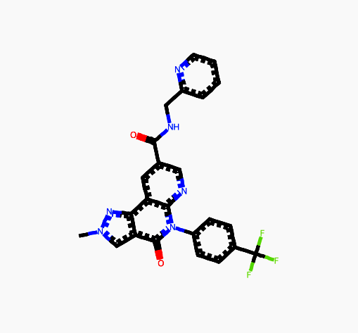 Cn1cc2c(=O)n(-c3ccc(C(F)(F)F)cc3)c3ncc(C(=O)NCc4ccccn4)cc3c2n1